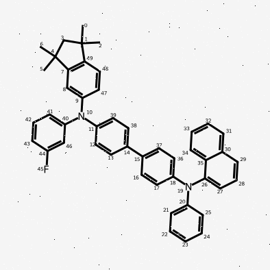 CC1(C)CC(C)(C)c2cc(N(c3ccc(-c4ccc(N(c5ccccc5)c5cccc6ccccc56)cc4)cc3)c3cccc(F)c3)ccc21